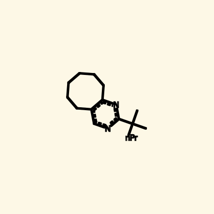 CCCC(C)(C)c1ncc2c(n1)CCCCCC2